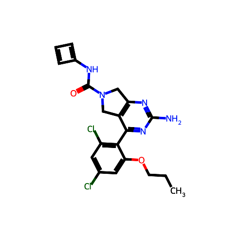 CCCOc1cc(Cl)cc(Cl)c1-c1nc(N)nc2c1CN(C(=O)NC1=CC=C1)C2